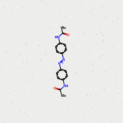 CC(C)(C)C(=O)Nc1ccc(/N=N/c2ccc(NC(=O)C(C)(C)C)cc2)cc1